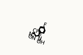 Cc1nonc1C(=NO)c1ccc(F)cc1